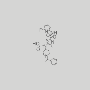 Cc1nc(S(=O)(=O)Nc2cccc(F)n2)sc1N(C)C1CCN(C(C)c2ccccc2)CC1.O=CO